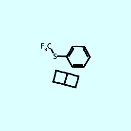 C1CC2CCC12.FC(F)(F)Sc1ccccc1